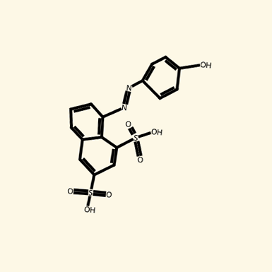 O=S(=O)(O)c1cc(S(=O)(=O)O)c2c(N=Nc3ccc(O)cc3)cccc2c1